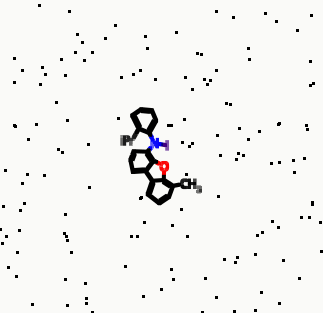 Cc1cccc2c1oc1c(N(I)c3ccccc3C(C)C)cccc12